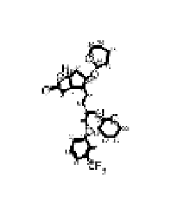 O=C1CC2C(CC[C@H](COc3cccc(C(F)(F)F)c3)OC3CCCCO3)C(OC3CCCCO3)C[C@@H]2O1